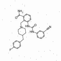 N#Cc1cccc(NC(=O)Nc2cccc(C(N)=O)c2CN2CCC(Cc3ccc(F)cc3)CC2)c1